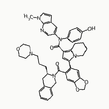 Cn1ccc2cc(N(C(=O)c3cc(-c4cc5c(cc4C(=O)N4Cc6ccccc6C[C@H]4CCCN4CCOCC4)OCO5)n4c3CCCC4)c3ccc(O)cc3)cnc21